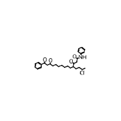 CC(Cl)CCC(CCCCCCCC(=O)CC(=O)c1ccccc1)C(=O)CC(=O)Nc1ccccc1